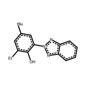 CCc1cc(C(C)(C)C)cc(-n2nc3ccccc3n2)c1O